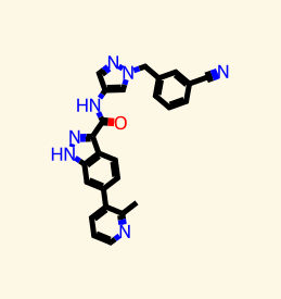 Cc1ncccc1-c1ccc2c(C(=O)Nc3cnn(Cc4cccc(C#N)c4)c3)n[nH]c2c1